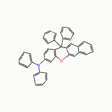 c1ccc(N(c2ccccc2)c2ccc3c(c2)Oc2cc4ccccc4cc2C3(c2ccccc2)c2ccccc2)cc1